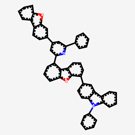 c1ccc(-c2cc(-c3ccc4c(c3)oc3ccccc34)cc(-c3cccc4oc5c(-c6ccc7c(c6)c6ccccc6n7-c6ccccc6)cccc5c34)n2)cc1